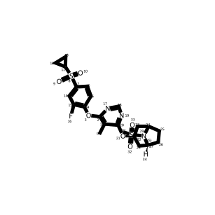 Cc1c(Oc2ccc(S(=O)(=O)C3CC3)cc2F)ncnc1O[C@H]1CC2CC[C@@H](C1)N2S(C)(=O)=O